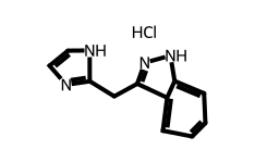 Cl.c1ccc2c(Cc3ncc[nH]3)n[nH]c2c1